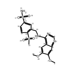 COc1cc2ncnc(NCc3cc(S(N)(=O)=O)ccc3S(C)(=O)=O)c2cc1OC